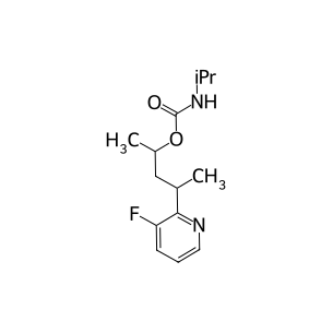 CC(C)NC(=O)OC(C)CC(C)c1ncccc1F